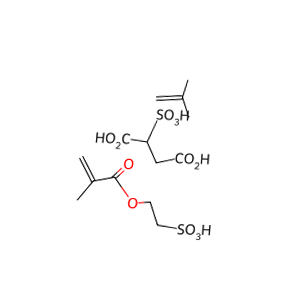 C=C(C)C.C=C(C)C(=O)OCCS(=O)(=O)O.O=C(O)CC(C(=O)O)S(=O)(=O)O